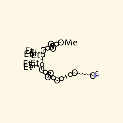 C=C/C(=C\C)OCCCCCCCCOc1ccc(C(C)(C)c2ccc(Oc3ccc(S(=O)(=O)c4ccc(Oc5ccc(C(C)(C)c6ccc(Oc7ccc(S(=O)(=O)c8ccc(OC)cc8)cc7)c(CCC[Si](CC)(CC)CC)c6)cc5CCC[Si](CC)(CC)CC)cc4)cc3)cc2)cc1